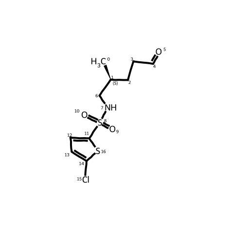 C[C@@H](CCC=O)CNS(=O)(=O)c1ccc(Cl)s1